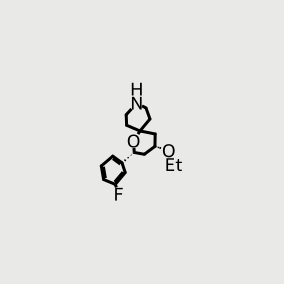 CCO[C@@H]1C[C@H](c2cccc(F)c2)OC2(CCNCC2)C1